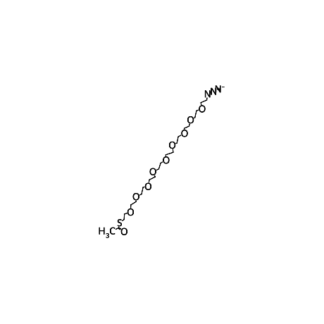 CC(=O)SCCOCCOCCOCCOCCOCCOCCOCCOCCOCCN=[N+]=[N-]